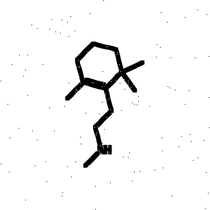 CNCCC1=C(C)CCCC1(C)C